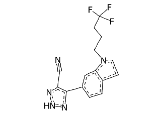 N#Cc1n[nH]nc1-c1ccc2ccn(CCCC(F)(F)F)c2c1